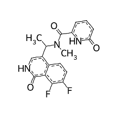 CC(c1c[nH]c(=O)c2c(F)c(F)ccc12)N(C)C(=O)c1cccc(=O)[nH]1